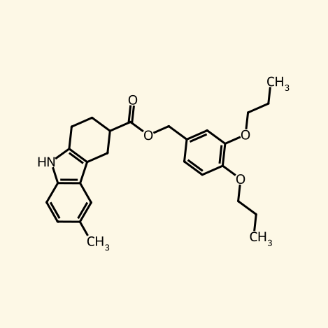 CCCOc1ccc(COC(=O)C2CCc3[nH]c4ccc(C)cc4c3C2)cc1OCCC